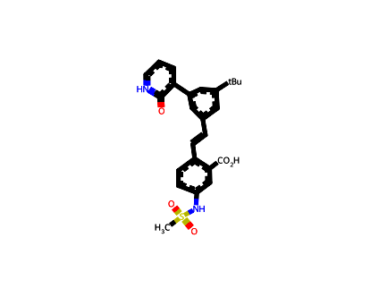 CC(C)(C)c1cc(C=Cc2ccc(NS(C)(=O)=O)cc2C(=O)O)cc(-c2ccc[nH]c2=O)c1